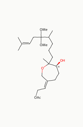 COC(CC=C(C)C)(OC)C(C)CCCC1(C)OCC(=CCOC(C)=O)CC[C@@H]1O